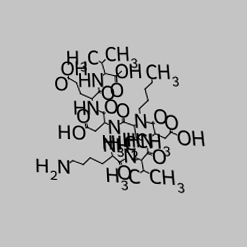 CCCCCN(C(=O)C(CC(=O)O)NC(=O)C(NC(=O)C(N)CCCCN)C(C)C)C(C(=O)NC(CC(=O)O)C(=O)NC(CCC(=O)O)C(=O)NC(C(=O)O)C(C)C)C(C)C